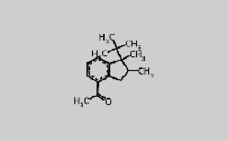 CC(=O)c1cccc2c1CC(C)C2(C)C(C)(C)C